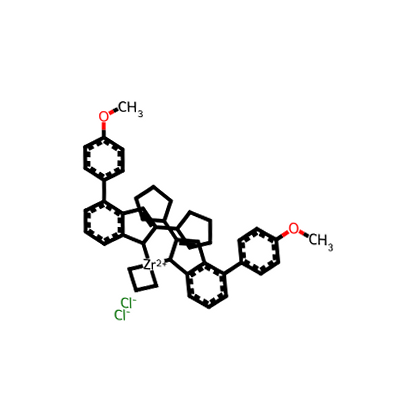 COc1ccc(-c2cccc3c2C=C(C2CCCC2)[CH]3[Zr+2]2([CH]3C(C4CCCC4)=Cc4c(-c5ccc(OC)cc5)cccc43)[CH2]C[CH2]2)cc1.[Cl-].[Cl-]